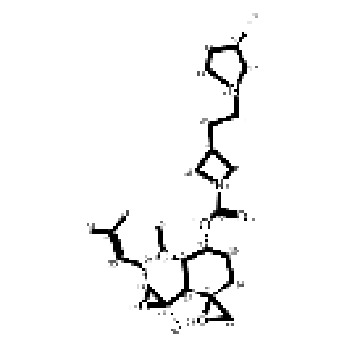 CO[C@@H]1[C@H](OC(=O)N2CC(CCN3CC[C@@H](F)C3)C2)CC[C@]2(CO2)[C@H]1[C@@]1(C)O[C@@H]1CC=C(C)C